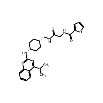 CN(C)c1nc(N[C@H]2CC[C@@H](CNC(=O)CNC(=O)c3ccco3)CC2)nc2ccccc12